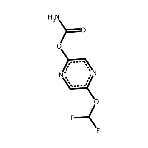 NC(=O)Oc1cnc(OC(F)F)cn1